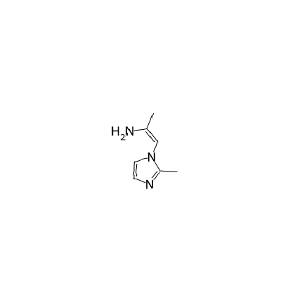 C/C(N)=C/n1ccnc1C